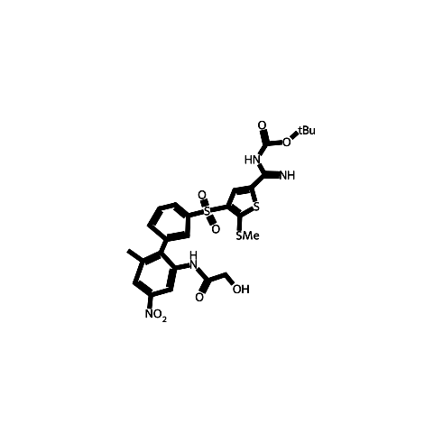 CSc1sc(C(=N)NC(=O)OC(C)(C)C)cc1S(=O)(=O)c1cccc(-c2c(C)cc([N+](=O)[O-])cc2NC(=O)CO)c1